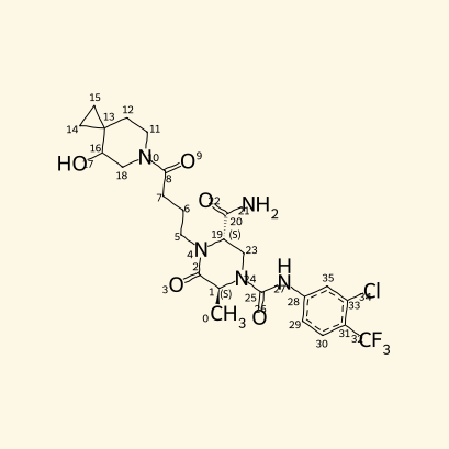 C[C@H]1C(=O)N(CCCC(=O)N2CCC3(CC3)C(O)C2)[C@H](C(N)=O)CN1C(=O)Nc1ccc(C(F)(F)F)c(Cl)c1